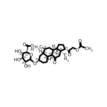 CC(=O)OCC(=O)[C@H]1CC[C@H]2[C@@H]3C[C@H](C)[C@@H]4C[C@H](OC5O[C@H](C(=O)O)[C@@H](O)[C@H](O)[C@H]5O)CC[C@@H]4[C@H]3C(=O)C[C@]12C